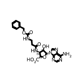 Nc1ncnc2c1ncn2[C@@H]1O[C@H](C(=O)O)[C@@H](NC(=O)CCNC(=O)OCc2ccccc2)[C@H]1O